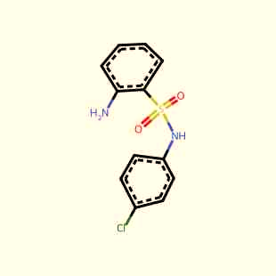 Nc1ccccc1S(=O)(=O)Nc1ccc(Cl)cc1